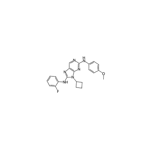 COc1ccc(Nc2ncc3nc(Nc4ccccc4F)n(C4CCC4)c3n2)cc1